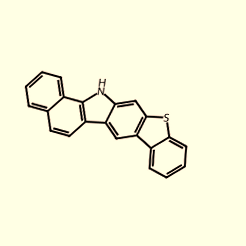 c1ccc2c(c1)ccc1c3cc4c(cc3[nH]c21)sc1ccccc14